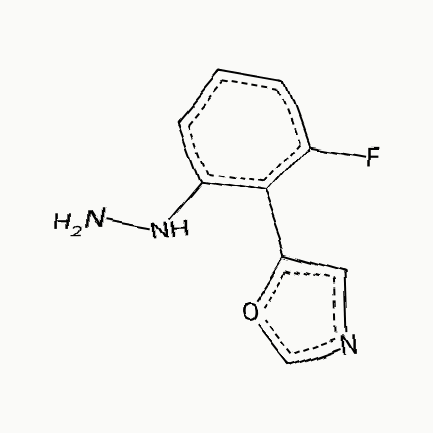 NNc1cccc(F)c1-c1cnco1